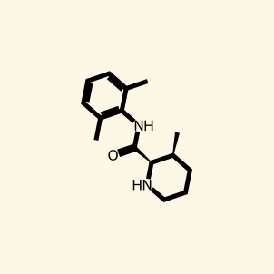 Cc1cccc(C)c1NC(=O)[C@@H]1NCCC[C@@H]1C